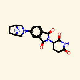 O=C1CCC(N2C(=O)c3ccc(N4CC5CCC(C4)N5)cc3C2=O)C(=O)N1